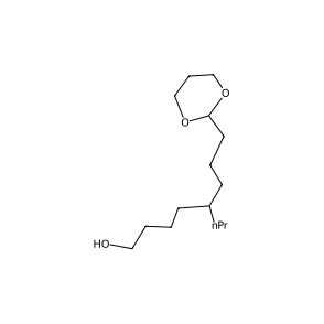 CCCC(CCCCO)CCCC1OCCCO1